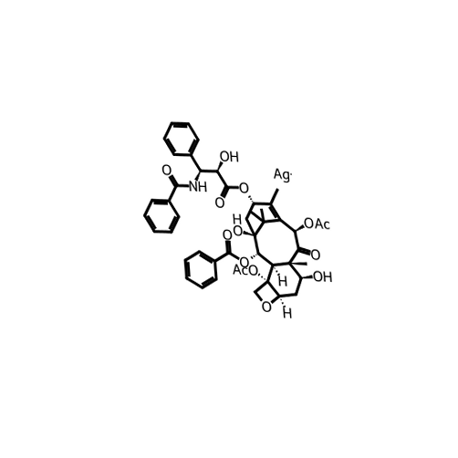 CC(=O)O[C@H]1C(=O)[C@@]2(C)[C@H]([C@H](OC(=O)c3ccccc3)[C@]3(O)C[C@H](OC(=O)[C@H](O)[C@@H](NC(=O)c4ccccc4)c4ccccc4)C(C)=C1C3(C)C)[C@]1(OC(C)=O)CO[C@@H]1C[C@@H]2O.[Ag]